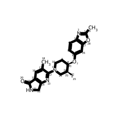 Cc1nc2ccc(O[C@@H]3CCN(c4nc5c(cc4C)C(=O)NC5)C[C@@H]3F)cc2o1